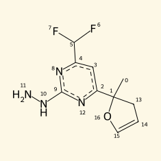 CC1(c2cc(C(F)F)nc(NN)n2)CC=CO1